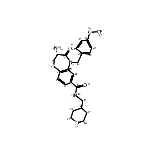 N[C@H]1CSc2ccc(C(=O)NCC3CCOCC3)cc2N(Cc2ccc(OC(F)(F)F)cc2)C1=O